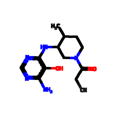 CC1CCN(C(=O)CC#N)CC1Nc1ncnc(N)c1O